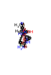 Cc1ncsc1-c1ccc([C@H](C)NC(=O)[C@@H]2C[C@@H](O)CN2C(=O)[C@@H](NC(=O)CCCCCc2ccc(Cl)c(OC[C@H](CCC(N)=O)NC(=O)[C@@H]3Cc4cccc5c4N3C(=O)CCC5)c2)C(C)(C)C)cc1